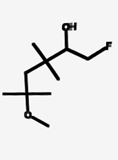 COC(C)(C)CC(C)(C)C(O)CF